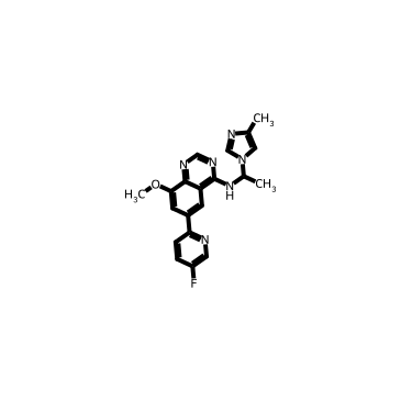 COc1cc(-c2ccc(F)cn2)cc2c(NC(C)n3cnc(C)c3)ncnc12